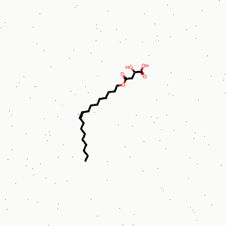 CCCCCCCC/C=C\CCCCCCCCOC(=O)CC(O)C(=O)O